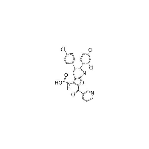 O=C(O)Nc1c(C(=O)c2cccnc2)oc2nc(-c3ccc(Cl)cc3Cl)c(-c3ccc(Cl)cc3)cc12